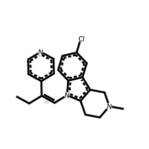 CC/C(=C/n1c2c(c3cc(Cl)ccc31)CN(C)CC2)c1ccncc1